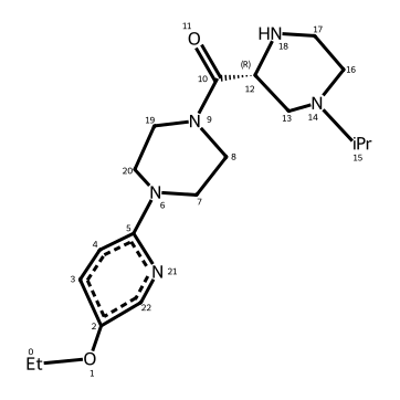 CCOc1ccc(N2CCN(C(=O)[C@H]3CN(C(C)C)CCN3)CC2)nc1